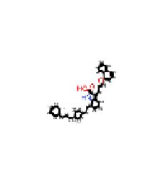 O=C(O)c1[nH]c2c(CCc3ccc(CCCc4ccccc4)cc3)cccc2c1CCCOc1cccc2ccccc12